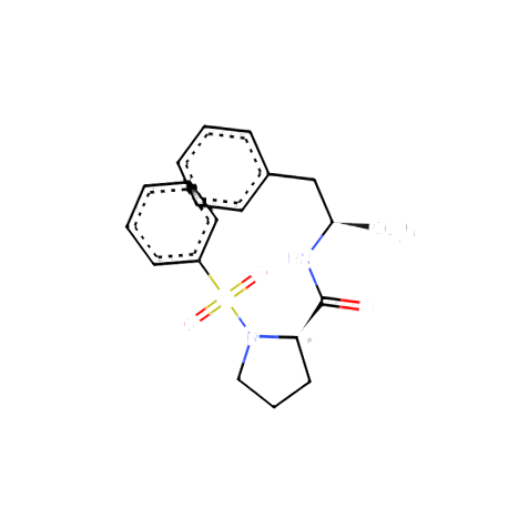 O=C(O)[C@H](Cc1ccccc1)NC(=O)[C@H]1CCCN1S(=O)(=O)c1ccccc1